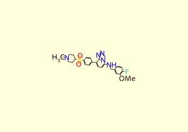 COc1cc(CNc2ccc(-c3ccc(S(=O)(=O)C4CCN(C)CC4)cc3)c3nncn23)ccc1F